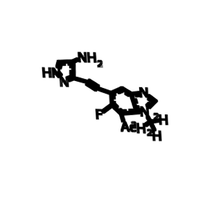 [2H]C([2H])([2H])n1cnc2cc(C#Cc3n[nH]cc3N)c(F)c(C(C)=O)c21